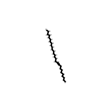 [CH2]CCCCCCCCC#CCCCCCCCCCCCCCCCC[CH2]